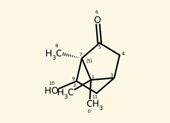 CC1(C)C2CC(=O)[C@]1(C)C(O)C2